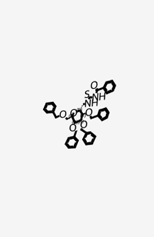 O=C(NC(=S)NC[C@H]1O[C@H](COCc2ccccc2)[C@@H](OCc2ccccc2)[C@H](OCc2ccccc2)[C@@H]1OCc1ccccc1)c1ccccc1